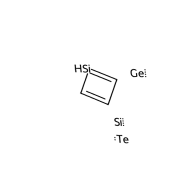 C1=C[SiH]=C1.[Ge].[Si].[Te]